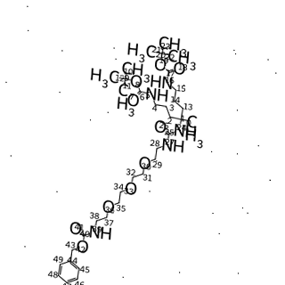 CC(CCCNC(=O)OC(C)(C)C)(CCCNC(=O)OC(C)(C)C)NC(=O)NCCOCCOCCOCCNC(=O)OCc1ccccc1